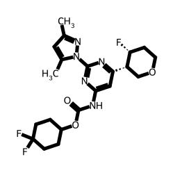 Cc1cc(C)n(-c2nc(NC(=O)OC3CCC(F)(F)CC3)cc([C@H]3COCC[C@H]3F)n2)n1